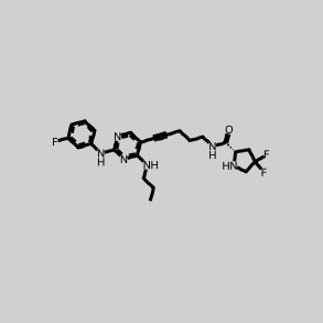 CCCNc1nc(Nc2cccc(F)c2)ncc1C#CCCCNC(=O)[C@@H]1CC(F)(F)CN1